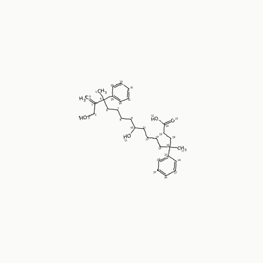 C=C(CO)C(C)(CCCCC(O)CCCCC(C)(CCC(=O)O)c1ccccc1)c1ccccc1